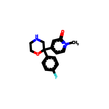 Cn1ccc(C2(c3ccc(F)cc3)CNCCO2)cc1=O